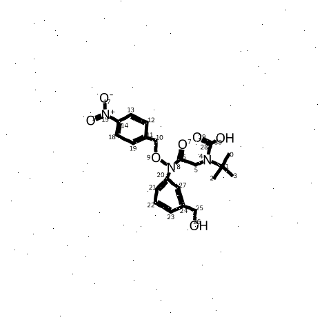 CC(C)(C)N(CC(=O)N(OCc1ccc([N+](=O)[O-])cc1)c1cccc(CO)c1)C(=O)O